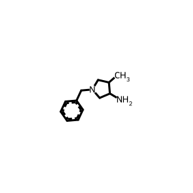 CC1CN(Cc2ccccc2)CC1N